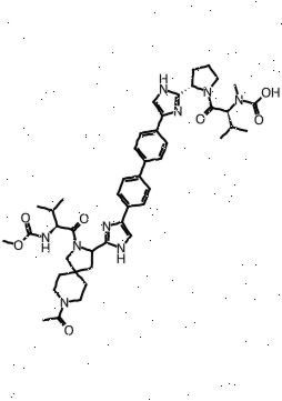 COC(=O)N[C@H](C(=O)N1CC2(CCN(C(C)=O)CC2)CC1c1nc(-c2ccc(-c3ccc(-c4c[nH]c([C@@H]5CCCN5C(=O)[C@H](C(C)C)N(C)C(=O)O)n4)cc3)cc2)c[nH]1)C(C)C